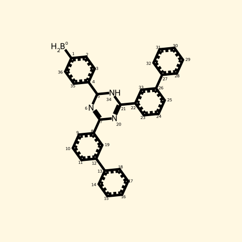 Bc1ccc(C2N=C(c3cccc(-c4ccccc4)c3)N=C(c3cccc(-c4ccccc4)c3)N2)cc1